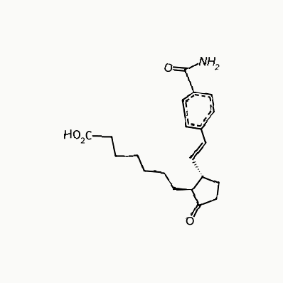 NC(=O)c1ccc(C=C[C@@H]2CCC(=O)[C@H]2CCCCCCC(=O)O)cc1